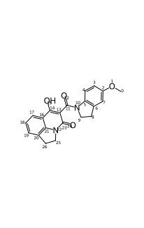 COc1ccc2c(c1)CCN2C(=O)c1c(O)c2cccc3c2n(c1=O)CC3